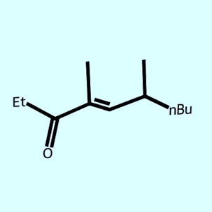 CCCCC(C)/C=C(\C)C(=O)CC